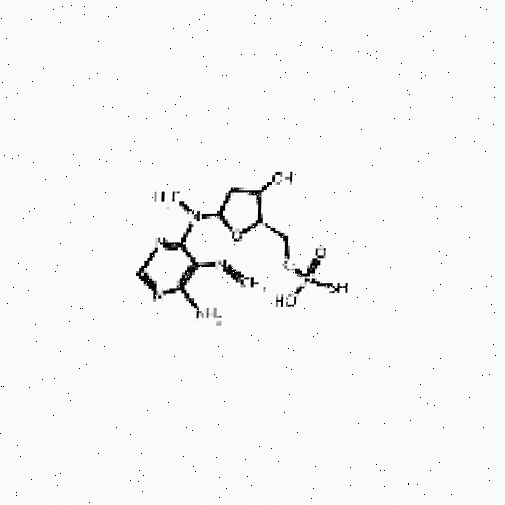 C=Nc1c(N)ncnc1N(C)[C@H]1CC(O)[C@@H](COP(=O)(O)S)O1